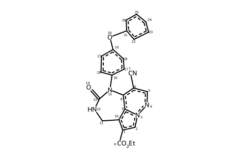 CCOC(=O)c1cn2ncc(C#N)c3c2c1CNC(=O)N3c1ccc(Oc2ccccc2)cc1